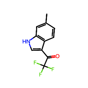 Cc1ccc2c(C(=O)C(F)(F)F)c[nH]c2c1